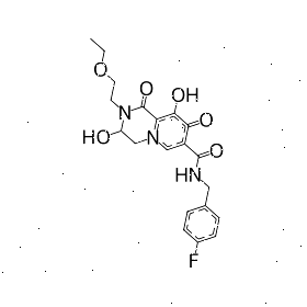 CCOCCN1C(=O)c2c(O)c(=O)c(C(=O)NCc3ccc(F)cc3)cn2CC1O